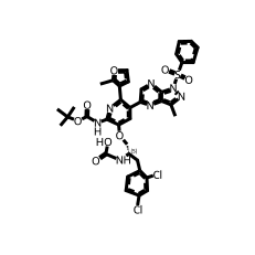 Cc1occc1-c1nc(NC(=O)OC(C)(C)C)c(OC[C@H](Cc2ccc(Cl)cc2Cl)NC(=O)O)cc1-c1cnc2c(n1)c(C)nn2S(=O)(=O)c1ccccc1